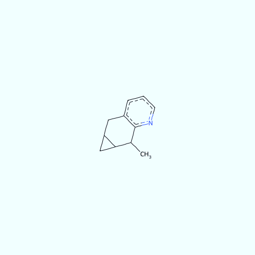 CC1c2ncccc2CC2CC21